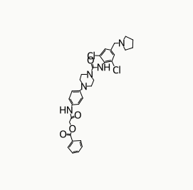 O=C(COC(=O)c1ccccc1)Nc1ccc(N2CCN(C(=O)Nc3c(Cl)cc(CN4CCCC4)cc3Cl)CC2)cc1